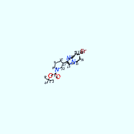 CC(C)(C)OC(=O)N1CCCC(c2cn3ccc(Br)cc3n2)C1